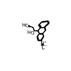 [C-]#[N+]c1ccc2c(c1)Cc1ccccc1C2C(O)CC#C